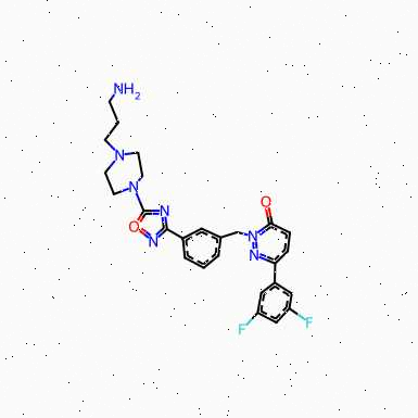 NCCCN1CCN(c2nc(-c3cccc(Cn4nc(-c5cc(F)cc(F)c5)ccc4=O)c3)no2)CC1